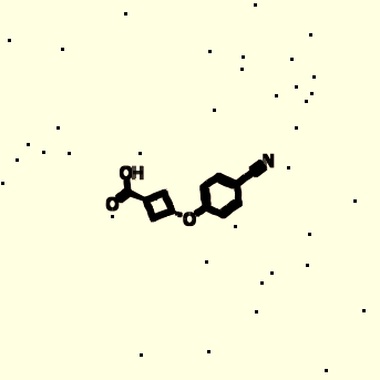 N#Cc1ccc(O[C@H]2C[C@H](C(=O)O)C2)cc1